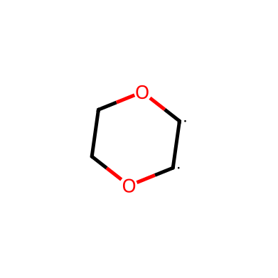 [CH]1[CH]OCCO1